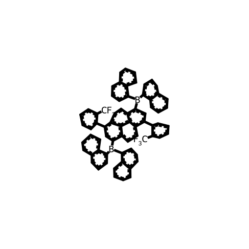 FC(F)(F)c1ccccc1-c1cc(B(c2cccc3ccccc23)c2cccc3ccccc23)c2ccc3c(-c4ccccc4C(F)(F)F)cc(B(c4cccc5ccccc45)c4cccc5ccccc45)c4ccc1c2c43